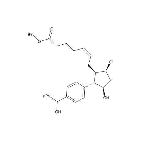 CCCC(O)c1ccc([C@@H]2[C@@H](C/C=C\CCCC(=O)OC(C)C)[C@@H](Cl)C[C@H]2O)cc1